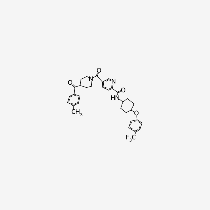 Cc1ccc(C(=O)C2CCN(C(=O)c3ccc(C(=O)NC4CCC(Oc5ccc(C(F)(F)F)cc5)CC4)nc3)CC2)cc1